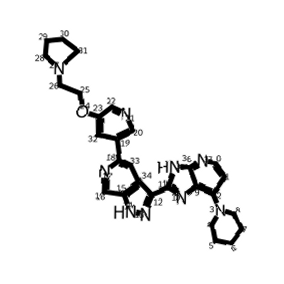 c1cc(N2CCCCC2)c2nc(-c3n[nH]c4cnc(-c5cncc(OCCN6CCCC6)c5)cc34)[nH]c2n1